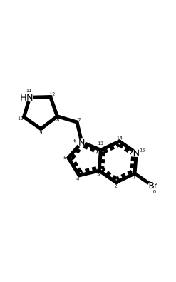 Brc1cc2ccn(CC3CCNC3)c2cn1